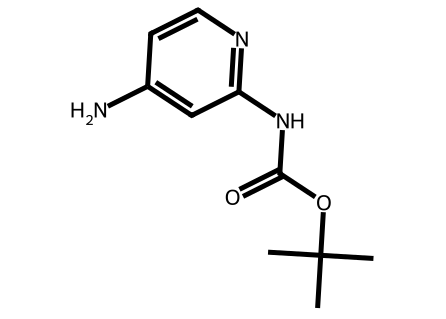 CC(C)(C)OC(=O)Nc1cc(N)ccn1